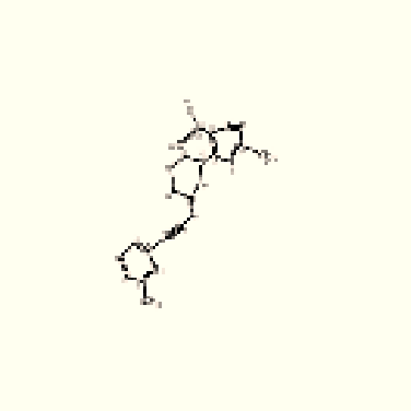 Cc1cccc(C#C/C=C2\CCCN(c3nc(C)ccc3[N+](=O)[O-])C2)n1